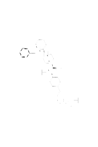 O=C(O)CCC1CCC(NC(=O)N2CCN(C3CCCCN3Cc3ccccc3)CC2)CC1